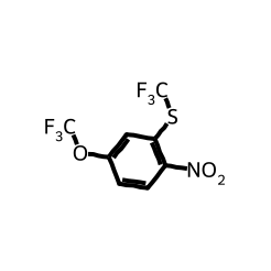 O=[N+]([O-])c1ccc(OC(F)(F)F)cc1SC(F)(F)F